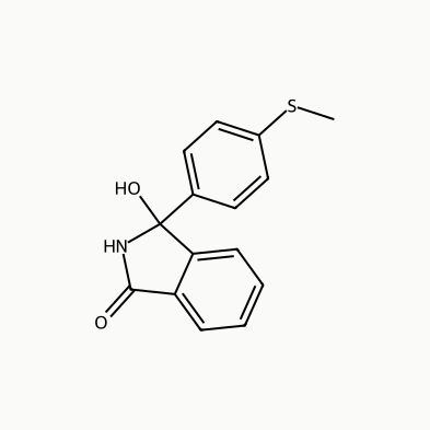 CSc1ccc(C2(O)NC(=O)c3ccccc32)cc1